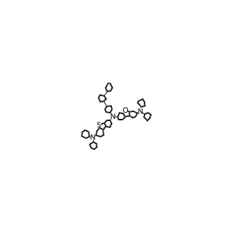 c1ccc(-c2cccc(-c3ccc(N(c4ccc5c(c4)oc4cc(N(c6ccccc6)c6ccccc6)ccc45)c4ccc5c(c4)sc4cc(N(c6ccccc6)c6ccccc6)ccc45)cc3)c2)cc1